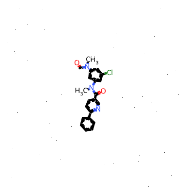 CN(C=O)c1cc(Cl)cc(N(C)C(=O)c2ccc(-c3ccccc3)nc2)c1